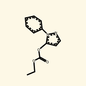 CCOC(=O)Oc1ccnn1-c1ccccc1